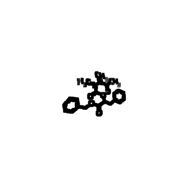 CC(=O)N(C)N(C)C(=O)OC(Cc1ccccc1)C(=O)OCc1ccccc1